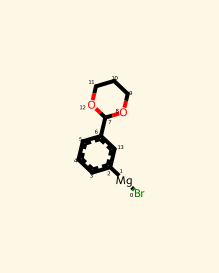 [Br][Mg][c]1cccc(C2OCCCO2)c1